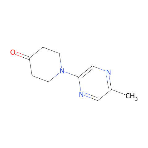 Cc1cnc(N2CCC(=O)CC2)cn1